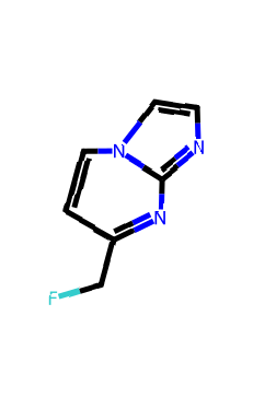 FCc1ccn2ccnc2n1